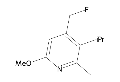 COc1cc(CF)c(C(C)C)c(C)n1